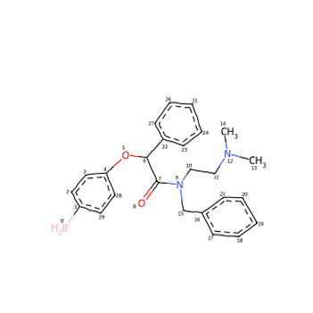 Bc1ccc(OC(C(=O)N(CCN(C)C)Cc2ccccc2)c2ccccc2)cc1